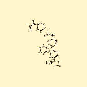 CC(=O)N(C)[C@H]1CC[C@H](CC(=O)Nc2cc(-c3ccccc3)c(-c3ccc(C4(N)CCC4)cc3)nn2)CC1